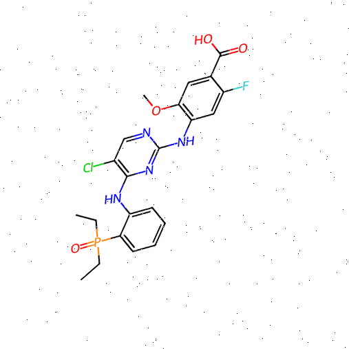 CCP(=O)(CC)c1ccccc1Nc1nc(Nc2cc(F)c(C(=O)O)cc2OC)ncc1Cl